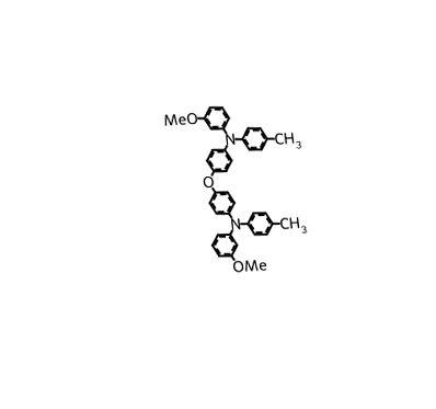 COc1cccc(N(c2ccc(C)cc2)c2ccc(Oc3ccc(N(c4ccc(C)cc4)c4cccc(OC)c4)cc3)cc2)c1